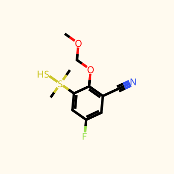 COCOc1c(C#N)cc(F)cc1S(C)(C)S